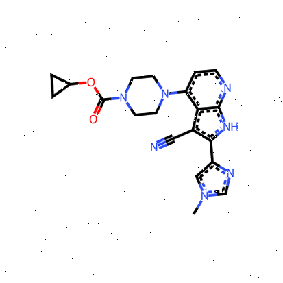 Cn1cnc(-c2[nH]c3nccc(N4CCN(C(=O)OC5CC5)CC4)c3c2C#N)c1